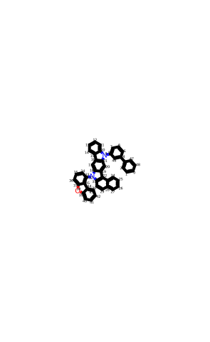 c1ccc(-c2cccc(-n3c4ccccc4c4cc5c(cc43)c3c4ccccc4ccc3n5-c3cccc4oc5ccccc5c34)c2)cc1